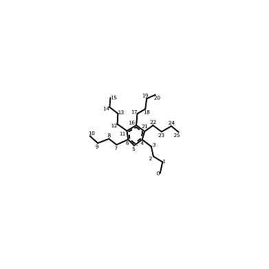 CCCCc1[c]c(CCCC)c(CCCC)c(CCCC)c1CCCC